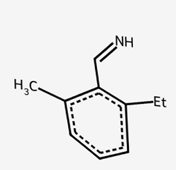 CCc1cccc(C)c1C=N